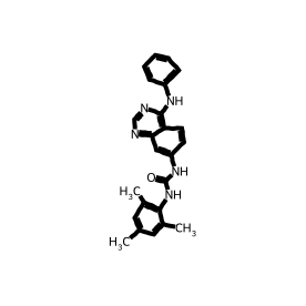 Cc1cc(C)c(NC(=O)Nc2ccc3c(Nc4ccccc4)ncnc3c2)c(C)c1